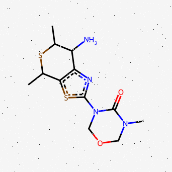 CC1SC(C)C(N)c2nc(N3COCN(C)C3=O)sc21